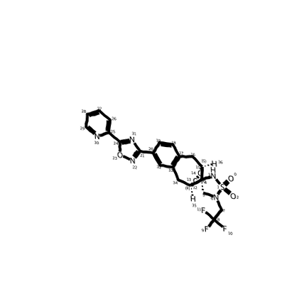 O=S1(=O)N[C@@]2(CN1CC(F)(F)F)[C@@H]1CC[C@H]2Cc2ccc(-c3noc(-c4ccccn4)n3)cc2C1